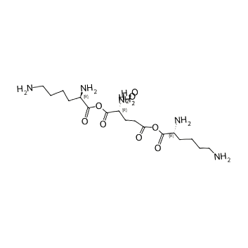 NCCCC[C@@H](N)C(=O)OC(=O)CC[C@@H](N)C(=O)OC(=O)[C@H](N)CCCCN.O.O